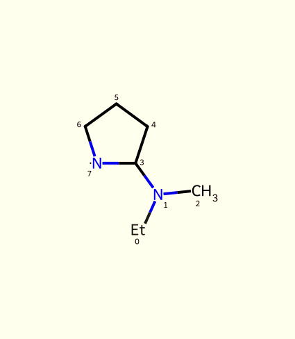 CCN(C)C1CCC[N]1